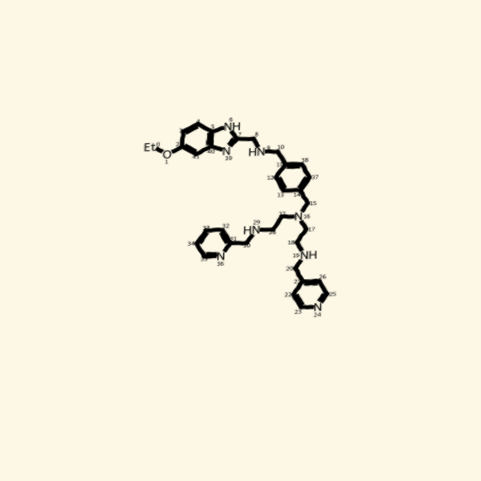 CCOc1ccc2[nH]c(CNCc3ccc(CN(CCNCc4ccncc4)CCNCc4ccccn4)cc3)nc2c1